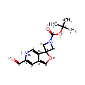 CC(C)(C)OC(=O)N1CC2(C1)OC=C1C=C(C=O)NC=C12